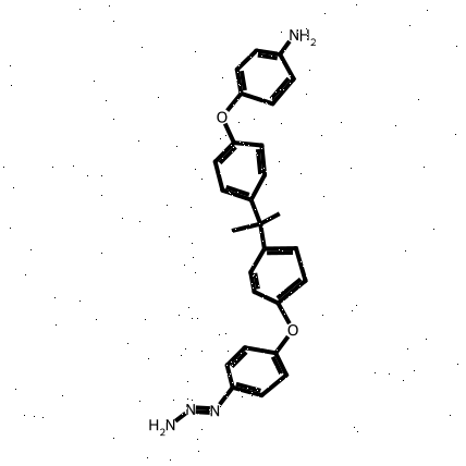 CC(C)(c1ccc(Oc2ccc(N)cc2)cc1)c1ccc(Oc2ccc(N=NN)cc2)cc1